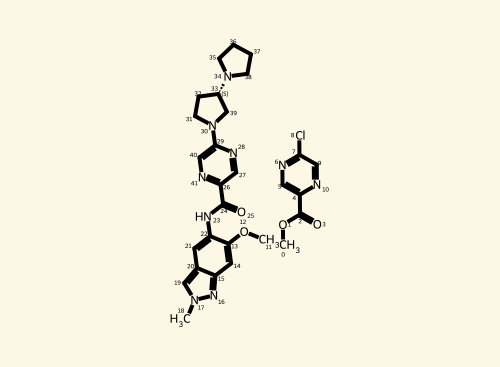 COC(=O)c1cnc(Cl)cn1.COc1cc2nn(C)cc2cc1NC(=O)c1cnc(N2CC[C@H](N3CCCC3)C2)cn1